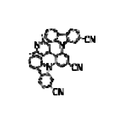 Cc1cc(-c2c(-n3c4ccccc4c4ccc(C#N)cc43)cc(C#N)cc2-n2c3ccccc3c3ccc(C#N)cc32)cc(C)n1